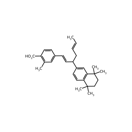 CC=CCC(C=Cc1ccc(C(=O)O)c(C)c1)c1ccc2c(c1)C(C)(C)CCC2(C)C